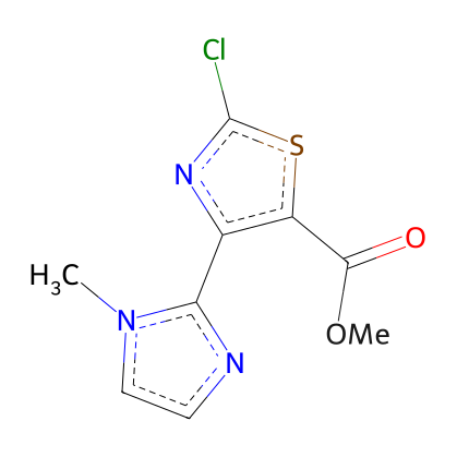 COC(=O)c1sc(Cl)nc1-c1nccn1C